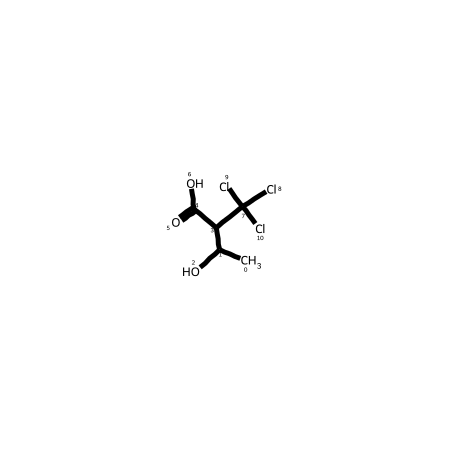 CC(O)C(C(=O)O)C(Cl)(Cl)Cl